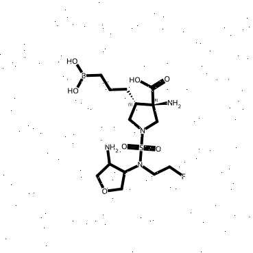 NC1COCC1N(CCF)S(=O)(=O)N1C[C@H](CCCB(O)O)[C@](N)(C(=O)O)C1